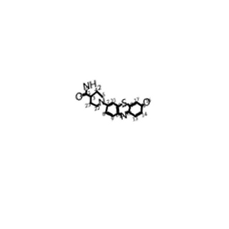 NC(=O)C1CCN(c2ccc3nc4ccc(=O)cc-4sc3c2)CC1